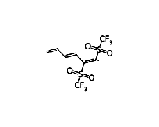 C=CC=C/C(=[C]\S(=O)(=O)C(F)(F)F)S(=O)(=O)C(F)(F)F